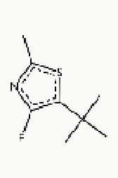 Cc1nc(F)c(C(C)(C)C)s1